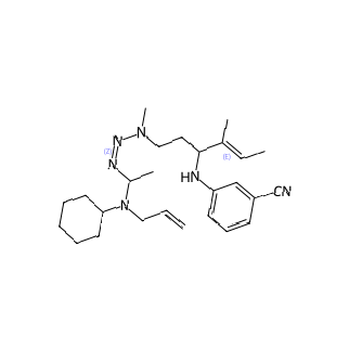 C=CCN(C1CCCCC1)C(C)/N=N\N(C)CCC(Nc1cccc(C#N)c1)/C(C)=C/C